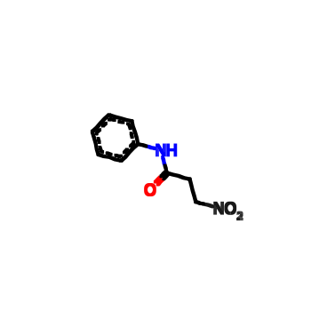 O=C(CC[N+](=O)[O-])Nc1ccccc1